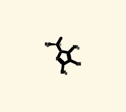 C[C@H](n1nc(N)c(C#N)c1N)C(F)(F)F